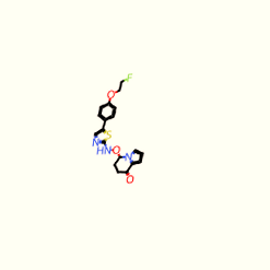 O=C1CCC(ONc2ncc(-c3ccc(OCCF)cc3)s2)n2cccc21